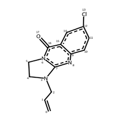 C=CCN1CCn2c1nc1ccc(Cl)cc1c2=O